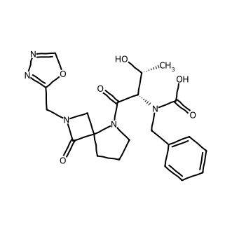 C[C@@H](O)[C@@H](C(=O)N1CCCC12CN(Cc1nnco1)C2=O)N(Cc1ccccc1)C(=O)O